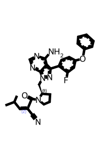 CC(C)/C=C(/C#N)C(=O)N1CCC[C@@H]1Cn1nc(-c2ccc(Oc3ccccc3)cc2F)c2c(N)ncnc21